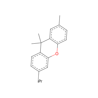 Cc1ccc2c(c1)C(C)(C)c1ccc(C(C)C)cc1O2